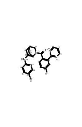 O=C(c1ccc(F)cc1-c1ncccn1)N1CC2CCC1C(Nc1ccc(Br)cn1)C2